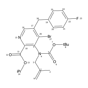 C=C(C)CN(C(=O)OC(C)(C)C)c1c(C(=O)OC(C)C)ncc(Cc2ccc(F)cc2)c1Br